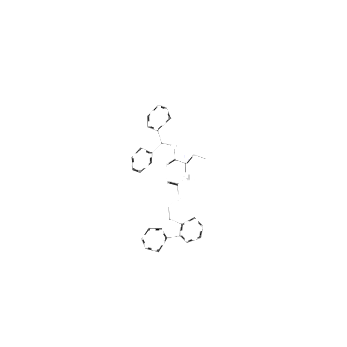 C/C=C(\NC(=O)OCC1c2ccccc2-c2ccccc21)C(=O)OC(c1ccccc1)c1ccccc1